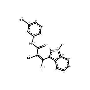 Cn1nc(C(O)=C(C#N)C(=O)Nc2cccc([N+](=O)[O-])c2)c2ccccc21